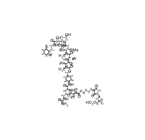 CC[C@H](C)[C@@H]([C@@H](CC(=O)N1C[C@@H](O)C[C@H]1[C@H](OC)[C@@H](C)C(=O)NCCc1c(F)cccc1F)OC)N(C)C(=O)[C@@H](NC(=O)[C@H](C(C)C)N(C)C(=O)OCc1ccc(NC(=O)[C@H](CCCNC(N)=O)NC(=O)[C@@H](NC(=O)CCCCCN2C(=O)CC(SCC3(CC(=O)O)CC3)C2=O)C(C)C)cc1)C(C)C